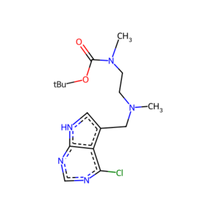 CN(CCN(C)C(=O)OC(C)(C)C)Cc1c[nH]c2ncnc(Cl)c12